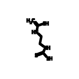 C=C(S)NCCNC(=S)S